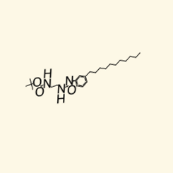 CCCCCCCCCCCc1ccc2oc(NCCNC(=O)OC(C)(C)C)nc2c1